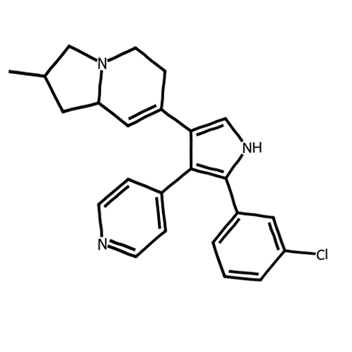 CC1CC2C=C(c3c[nH]c(-c4cccc(Cl)c4)c3-c3ccncc3)CCN2C1